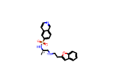 C[C@H](CNCCc1cc2ccccc2o1)NS(=O)(=O)c1ccc2cnccc2c1